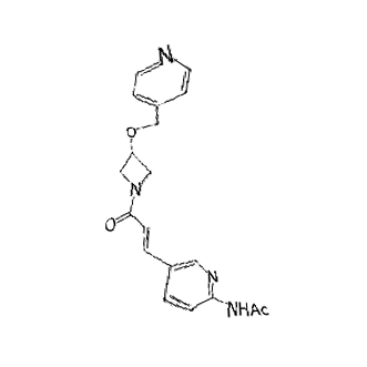 CC(=O)Nc1ccc(C=CC(=O)N2CC(OCc3ccncc3)C2)cn1